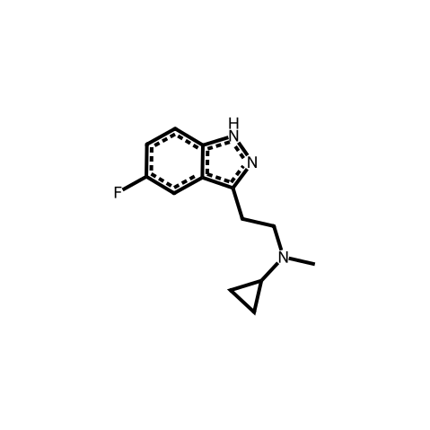 CN(CCc1n[nH]c2ccc(F)cc12)C1CC1